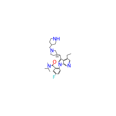 CCc1cncc2c1c(C[C@H]1CCN(CC3CCNCC3)C1)cn2-c1ccc(F)cc1C(=O)N(C)C(C)C